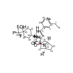 CCc1cc(-c2cc(C(=O)N3[C@@H]4CC[C@H]3CC(C(=O)NC3CCC(O)(C(F)(F)F)CC3)C4)n[nH]2)ccn1